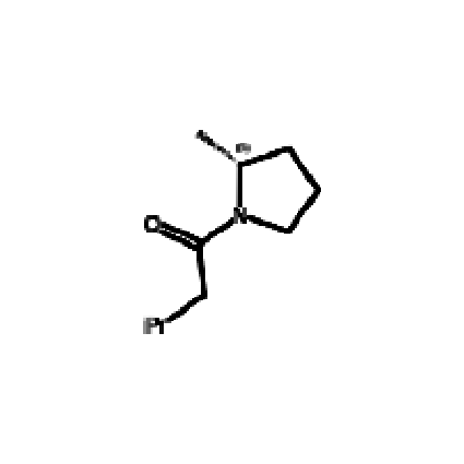 CC(C)CC(=O)N1CCC[C@H]1C